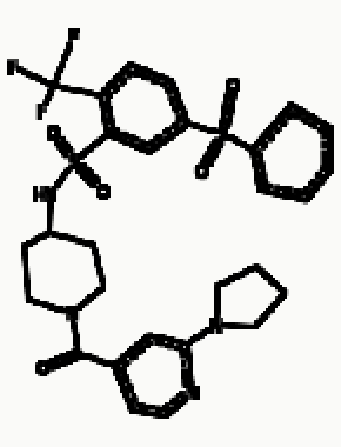 O=C(c1ccnc(N2CCCC2)c1)N1CCC(NS(=O)(=O)c2cc(S(=O)(=O)c3ccccc3)ccc2C(F)(F)F)CC1